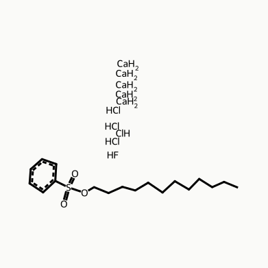 CCCCCCCCCCCCOS(=O)(=O)c1ccccc1.Cl.Cl.Cl.Cl.F.[CaH2].[CaH2].[CaH2].[CaH2].[CaH2]